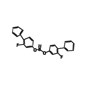 Fc1cc(OBOc2ccc(-c3ccccc3)c(F)c2)ccc1-c1ccccc1